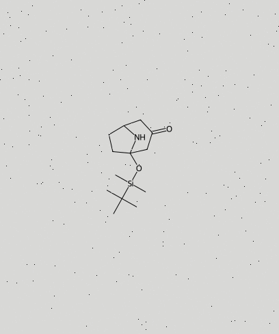 CC(C)(C)[Si](C)(C)OC12CCC(CC(=O)C1)N2